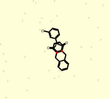 O=C1C2=C(C(=O)N1c1cccc(Cl)c1)C1c3ccccc3C2c2ccccc21